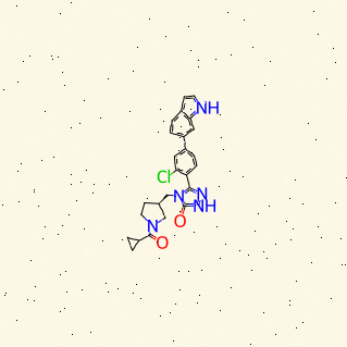 O=C(C1CC1)N1CC[C@@H](Cn2c(-c3ccc(-c4ccc5cc[nH]c5c4)cc3Cl)n[nH]c2=O)C1